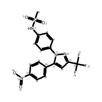 CS(=O)(=O)Nc1ccc(-n2nc(C(F)(F)F)cc2-c2ccc([N+](=O)[O-])cc2)cc1